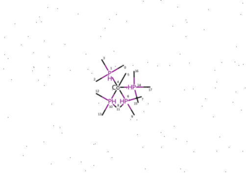 C[PH](C)(C)[Co]([CH3])([PH](C)(C)C)([PH](C)(C)C)[PH](C)(C)C